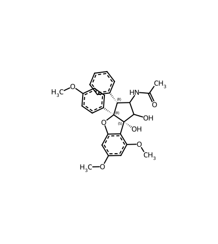 COc1ccc([C@@]23Oc4cc(OC)cc(OC)c4[C@]2(O)C(O)C(NC(C)=O)[C@H]3c2ccccc2)cc1